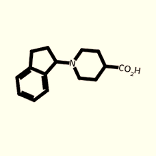 O=C(O)C1CCN(C2CCc3ccccc32)CC1